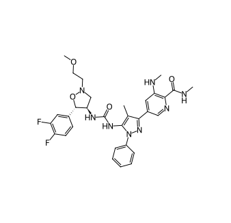 CNC(=O)c1ncc(-c2nn(-c3ccccc3)c(NC(=O)N[C@@H]3CN(CCOC)O[C@H]3c3ccc(F)c(F)c3)c2C)cc1NC